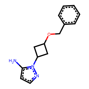 Nc1ccnn1C1CC(OCc2ccccc2)C1